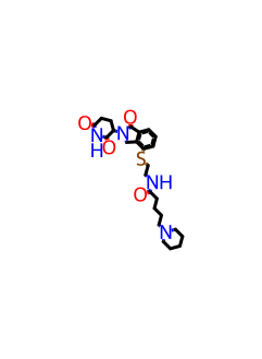 O=C(CCCCN1CCCCC1)NCCSc1cccc2c1CN(C1CCC(=O)NC1=O)C2=O